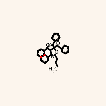 CCCCCOC(C(=O)c1ccccc1)(C(=O)c1ccccc1)C(C(=O)c1ccccc1)C(=O)c1ccccc1